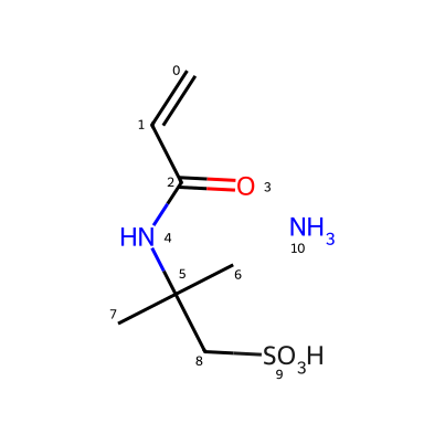 C=CC(=O)NC(C)(C)CS(=O)(=O)O.N